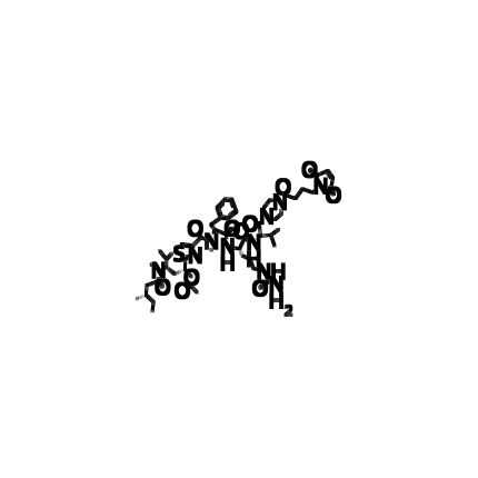 CC[C@H](C)CC(=O)N(C)[C@H](C[C@@H](OC(C)=O)c1nc(C(=O)N(C)[C@@H](Cc2ccccc2)C(=O)N[C@@H](CCCNC(N)=O)C(=O)N[C@H](C(=O)N2CCN(C(=O)CCCN3C(=O)C=CC3=O)CC2)C(C)C)cs1)C(C)C